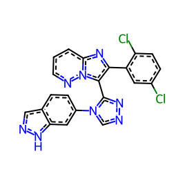 Clc1ccc(Cl)c(-c2nc3cccnn3c2-c2nncn2-c2ccc3cn[nH]c3c2)c1